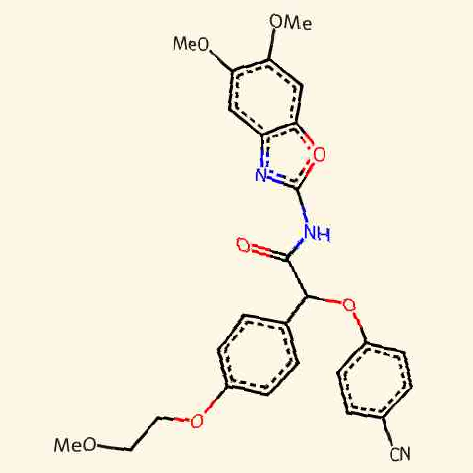 COCCOc1ccc(C(Oc2ccc(C#N)cc2)C(=O)Nc2nc3cc(OC)c(OC)cc3o2)cc1